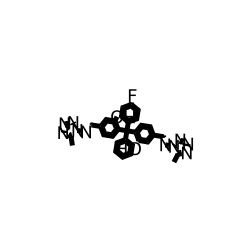 Cc1nnnn1N=Cc1ccc(C(c2ccccc2)(c2ccc(F)cc2)c2ccc(C=Nn3nnnc3C)cc2O)c(O)c1